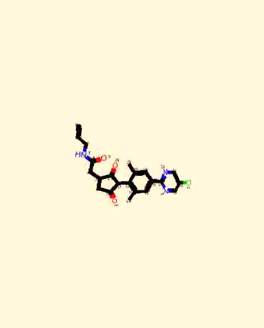 C=CCNC(=O)CC1CC(=O)C(c2c(C)cc(-c3ncc(Cl)cn3)cc2C)C1=O